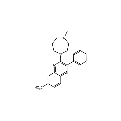 CN1CCCN(c2nc3cc(C(=O)O)ccc3nc2-c2ccccc2)CC1